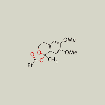 CCC(=O)OC1(C)OCCc2cc(OC)c(OC)cc21